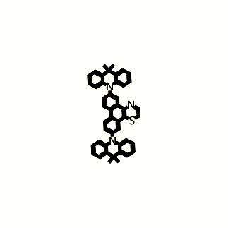 CC1(C)c2ccccc2N(c2ccc3c(c2)c2c(c4cc(N5c6ccccc6C(C)(C)c6ccccc65)ccc43)SCC=N2)c2ccccc21